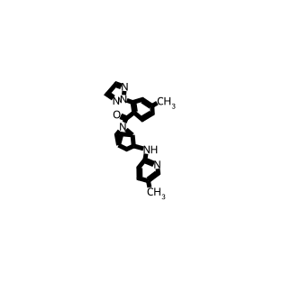 Cc1ccc(NC2CC3CC2N(C(=O)c2ccc(C)cc2-n2nccn2)C3)nc1